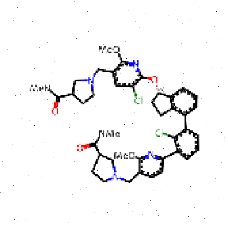 CNC(=O)C1CCN(Cc2ccc(-c3cccc(-c4cccc5c4CC[C@@H]5Oc4nc(OC)c(CN5CCC(C(=O)NC)C5)cc4Cl)c3Cl)nc2OC)C1